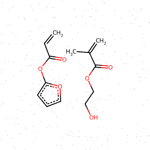 C=C(C)C(=O)OCCO.C=CC(=O)Oc1ccco1